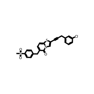 CS(=O)(=O)c1ccc(Cc2ccc3sc(C#CCc4cccc(Cl)c4)cn3c2=O)cc1